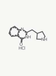 Cl.O=c1[nH]c(CC2CCNC2)nc2ccccc12